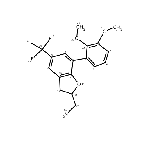 COc1cccc(-c2cc(C(F)(F)F)cc3c2OC(CN)C3)c1OC